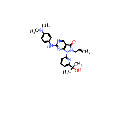 C=CCn1c(=O)c2cnc(Nc3ccc(N(C)C)cc3)nc2n1-c1cccc(C(C)(C)O)n1